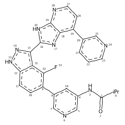 CC(C)C(=O)Nc1cncc(-c2ccc3[nH]nc(-c4nc5c(-c6cccnc6)ccnc5[nH]4)c3c2F)c1